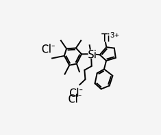 CCCC[Si](C)(C1=[C]([Ti+3])CC=C1c1ccccc1)c1c(C)c(C)c(C)c(C)c1C.[Cl-].[Cl-].[Cl-]